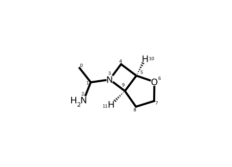 CC(N)N1C[C@H]2OCC[C@H]21